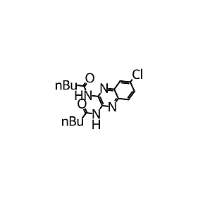 CCCCC(=O)Nc1nc2ccc(Cl)cc2nc1NC(=O)CCCC